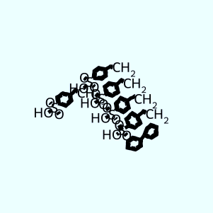 C=Cc1ccc(S(=O)(=O)O)cc1.C=Cc1ccc(S(=O)(=O)O)cc1.C=Cc1ccc(S(=O)(=O)O)cc1.C=Cc1ccc(S(=O)(=O)O)cc1.C=Cc1ccc(S(=O)(=O)O)cc1.c1ccc(-c2ccccc2)cc1